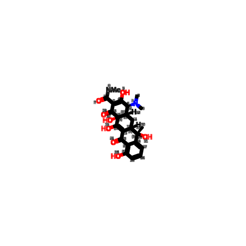 CNC(=O)C1=C(O)[C@@H](N(C)C)[C@@H]2C[C@H]3C(=C(O)[C@]2(O)C1=O)C(=O)c1c(O)cccc1[C@@]3(C)O